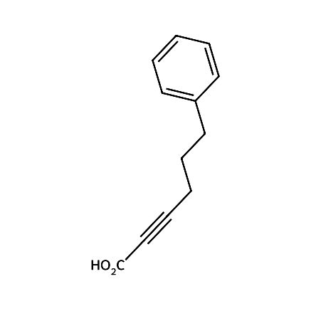 O=C(O)C#CCCCc1ccccc1